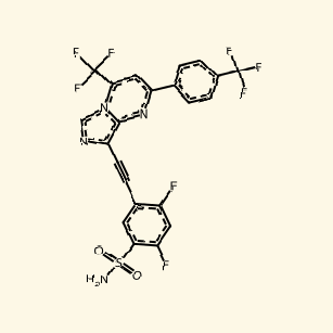 NS(=O)(=O)c1cc(C#Cc2ncn3c(C(F)(F)F)cc(-c4ccc(C(F)(F)F)cc4)nc23)c(F)cc1F